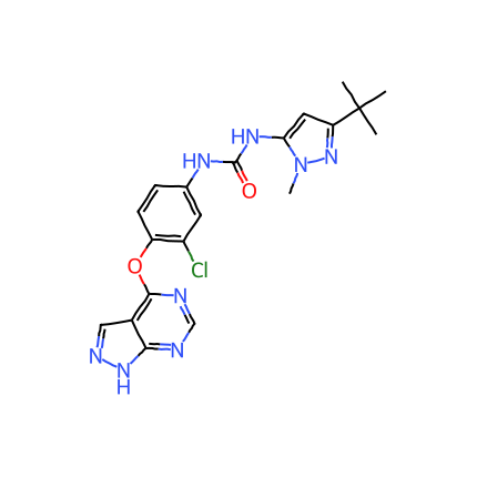 Cn1nc(C(C)(C)C)cc1NC(=O)Nc1ccc(Oc2ncnc3[nH]ncc23)c(Cl)c1